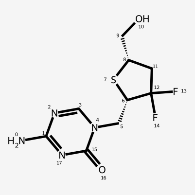 Nc1ncn(C[C@@H]2S[C@H](CO)CC2(F)F)c(=O)n1